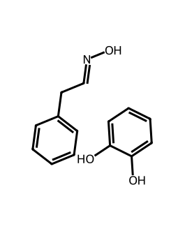 ON=CCc1ccccc1.Oc1ccccc1O